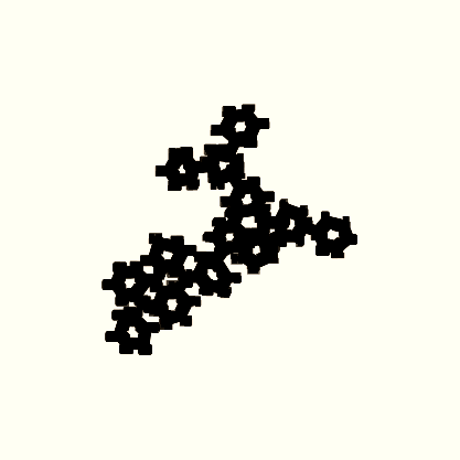 c1ccc(-c2ccc3c(c2)c2ccccc2n3-c2ccc(-c3nc(-c4ccccc4)cc(-c4ccccc4)n3)cc2-c2ccc(-c3cccc(N4c5ccccc5B5c6ccccc6N(c6ccccc6)c6cccc4c65)c3)cc2)cc1